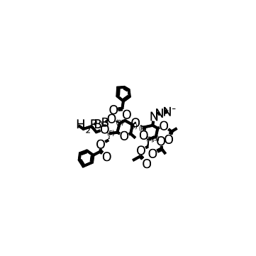 CCCCO[C@@H](COC(=O)c1ccccc1)C1OC(C)[C@H](O[C@H]2O[C@H](COC(C)=O)[C@@H](OC(C)=O)C(OC(C)=O)C2N=[N+]=[N-])C(OC(=O)c2ccccc2)[C@@H]1OB=BP